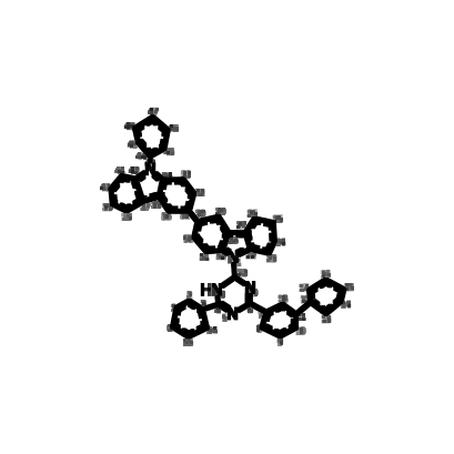 c1ccc(C2=NC(c3cccc(-c4ccccc4)c3)=NC(n3c4ccccc4c4cc(-c5ccc6c(c5)c5ccccc5n6-c5ccccc5)ccc43)N2)cc1